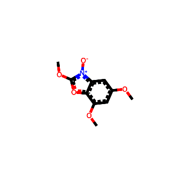 COc1cc(OC)c2oc(OC)[n+]([O-])c2c1